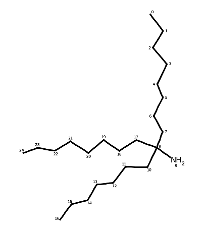 CCCCCCCCC(N)(CCCCCCC)CCCCCCCC